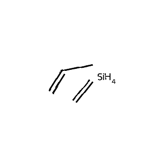 C=C.C=CC.[SiH4]